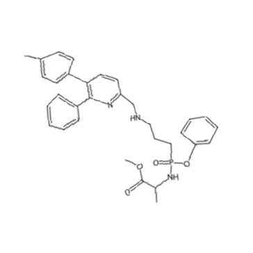 COC(=O)C(C)NP(=O)(CCCNCc1ccc(-c2ccc(C)cc2)c(-c2ccccc2)n1)Oc1ccccc1